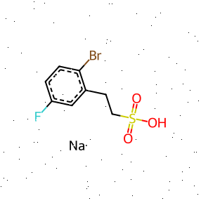 O=S(=O)(O)CCc1cc(F)ccc1Br.[Na]